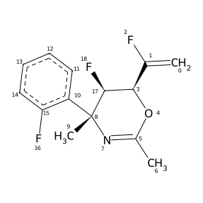 C=C(F)[C@H]1OC(C)=N[C@](C)(c2ccccc2F)[C@H]1F